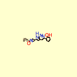 CC(C)C(=O)N1CC(c2cc3cc(-c4ccccc4O)nnc3[nH]2)C1